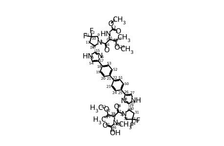 COC(=O)N[C@H](C(=O)N1CC(F)(F)C[C@H]1c1nc(-c2ccc(-c3ccc(-c4c[nH]c([C@@H]5CC(F)(F)CN5C(=O)[C@H]([C@@H](C)OC)N(C)C(=O)O)n4)cc3)cc2)c[nH]1)[C@@H](C)OC